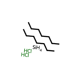 CCCCCCC.CCCCCCC.Cl.Cl.[SiH4]